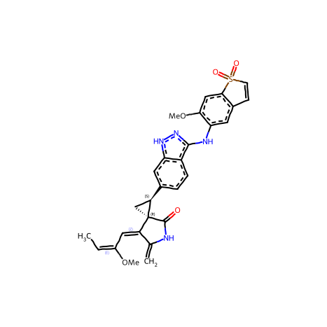 C=C1NC(=O)[C@@]2(C[C@H]2c2ccc3c(Nc4cc5c(cc4OC)S(=O)(=O)C=C5)n[nH]c3c2)/C1=C/C(=C\C)OC